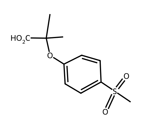 CC(C)(Oc1ccc(S(C)(=O)=O)cc1)C(=O)O